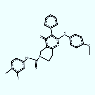 COc1ccc(Nc2nc3c(c(=O)n2-c2ccccc2)CN(C(=O)Nc2ccc(F)c(F)c2)CC3)cc1